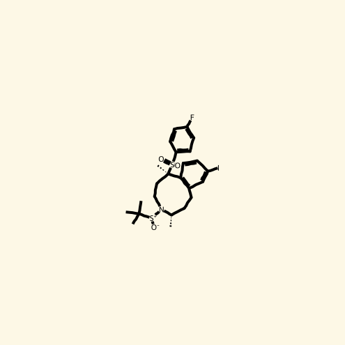 C[C@H]1CCc2cc(I)ccc2[C@](C)(S(=O)(=O)c2ccc(F)cc2)CCN1[S+]([O-])C(C)(C)C